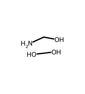 NCO.OO